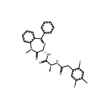 C[C@H](NC(=O)Cc1cc(F)c(F)cc1F)C(=O)N[C@H]1N=C(c2ccccc2)c2ccccc2N(C)C1=O